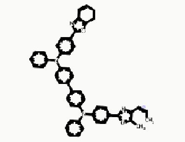 C/C=C\c1nc(-c2ccc(N(c3ccccc3)c3ccc(-c4ccc(N(c5ccccc5)c5ccc(-c6nc7c(o6)CCC=C7)cc5)cc4)cc3)cc2)oc1C